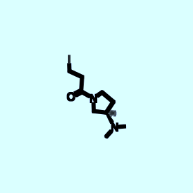 CN(C)[C@@H]1CCN(C(=O)CCI)C1